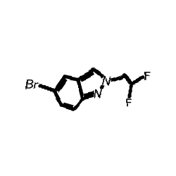 FC(F)Cn1cc2cc(Br)ccc2n1